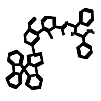 C=CC1=C(c2cccc(/C(C)=N/C(NC(N)c3ccccc3)c3ccccc3)c2C)C=C(c2ccc3c(c2)C2(c4ccccc4-c4ccccc42)c2ccccc2-3)CC1